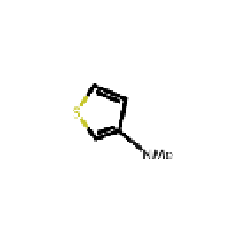 [CH2]Nc1ccsc1